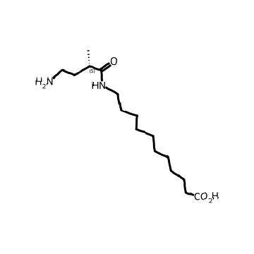 C[C@@H](CCN)C(=O)NCCCCCCCCCCC(=O)O